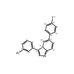 CC(=O)c1cccc(-c2cnc3ccc(-c4ccc(F)cc4)nn23)c1